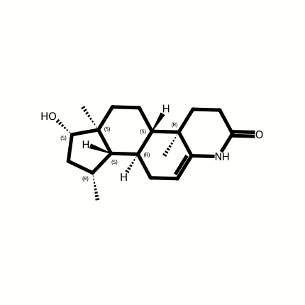 C[C@@H]1C[C@H](O)[C@@]2(C)CC[C@H]3[C@@H](CC=C4NC(=O)CC[C@@]43C)[C@H]12